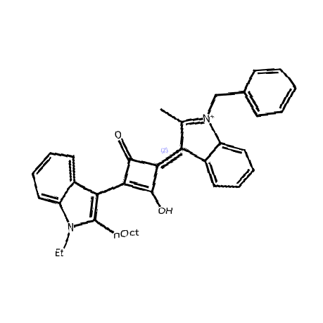 CCCCCCCCc1c(C2=C(O)/C(=C3/C(C)=[N+](Cc4ccccc4)c4ccccc43)C2=O)c2ccccc2n1CC